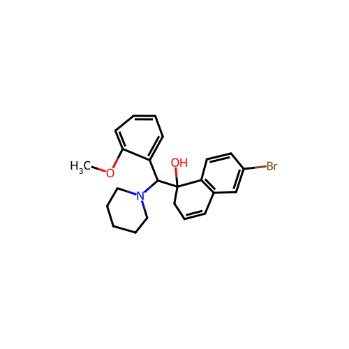 COc1ccccc1C(N1CCCCC1)C1(O)CC=Cc2cc(Br)ccc21